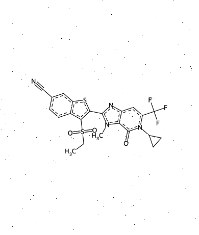 CCS(=O)(=O)c1c(-c2nc3cc(C(F)(F)F)n(C4CC4)c(=O)c3n2C)sc2cc(C#N)ccc12